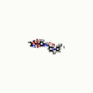 Cc1cnc(S(=O)(=O)c2ccc(CNC(=O)c3ccc(C)n(-c4cccc(C(F)(F)F)c4)c3=O)cc2)o1